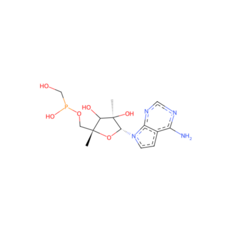 C[C@]1(COP(O)CO)O[C@@H](n2ccc3c(N)ncnc32)[C@](C)(O)C1O